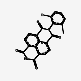 CCc1cccc(C)c1N1C(=O)c2ccc3c4c(ccc(c24)C1=O)C(=O)NC3=O